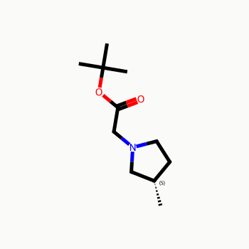 C[C@H]1CCN(CC(=O)OC(C)(C)C)C1